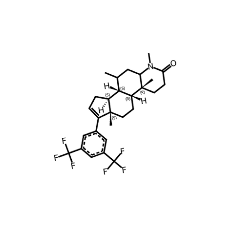 CC1CC2N(C)C(=O)CC[C@]2(C)[C@@H]2CC[C@]3(C)C(c4cc(C(F)(F)F)cc(C(F)(F)F)c4)=CC[C@H]3[C@H]12